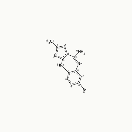 Cn1cc2c(n1)Nc1ccc(Br)cc1N=C2N